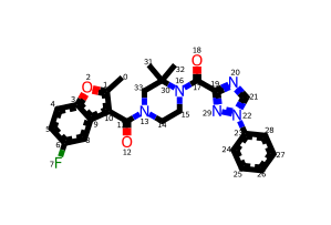 Cc1oc2ccc(F)cc2c1C(=O)N1CCN(C(=O)c2ncn(-c3ccccc3)n2)C(C)(C)C1